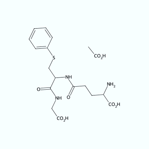 CC(=O)O.NC(CCC(=O)NC(CSc1ccccc1)C(=O)NCC(=O)O)C(=O)O